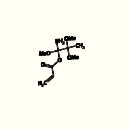 C=CC(=O)OC([SiH3])(OC)C(C)(OC)OC